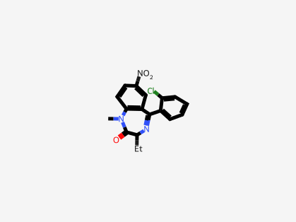 CCC1N=C(c2ccccc2Cl)c2cc([N+](=O)[O-])ccc2N(C)C1=O